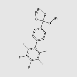 CC(C)O[Si](OC(C)C)(OC(C)C)c1ccc(-c2c(F)c(F)c(F)c(F)c2F)cc1